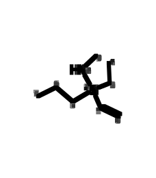 C=C[Si](CC)(CCC)NC